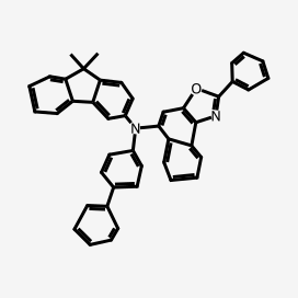 CC1(C)c2ccccc2-c2cc(N(c3ccc(-c4ccccc4)cc3)c3cc4oc(-c5ccccc5)nc4c4ccccc34)ccc21